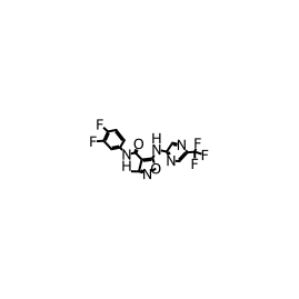 Cc1noc(Nc2cnc(C(F)(F)F)cn2)c1C(=O)Nc1ccc(F)c(F)c1